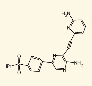 CC(C)S(=O)(=O)c1ccc(-c2cnc(N)c(C#Cc3cccc(N)n3)n2)cc1